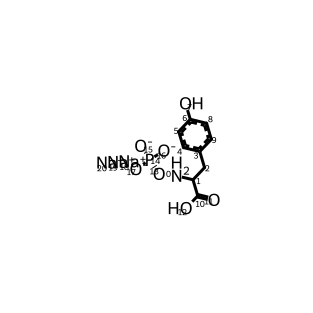 NC(Cc1ccc(O)cc1)C(=O)O.O=P([O-])([O-])[O-].[Na+].[Na+].[Na+]